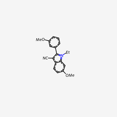 CCn1c(-c2cccc(OC)c2)c(C#N)c2ccc(OC)cc21